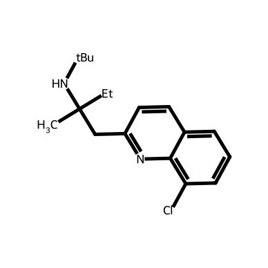 CCC(C)(Cc1ccc2cccc(Cl)c2n1)NC(C)(C)C